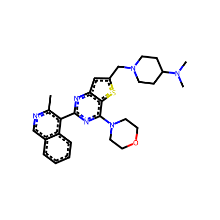 Cc1ncc2ccccc2c1-c1nc(N2CCOCC2)c2sc(CN3CCC(N(C)C)CC3)cc2n1